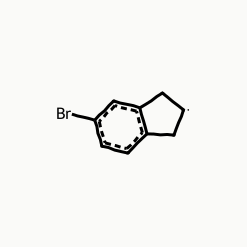 Brc1ccc2c(c1)C[CH]C2